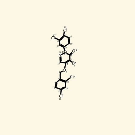 O=c1c(Br)c(OCc2ccc(Cl)cc2F)cnn1-c1ccc(Cl)c(Cl)c1